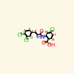 O=C(C=Cc1ccc(Cl)c(Cl)c1)Nc1cc(Cl)ccc1C(=O)O